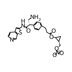 NC[C@@H](C(=O)Nc1cc2ccncc2s1)c1ccc(CCC(=O)O[C@H]2C[C@H]2CO[N+](=O)[O-])cc1